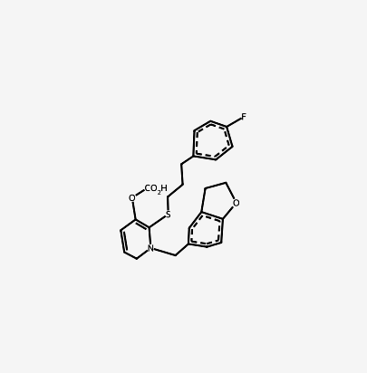 O=C(O)OC1=C(SCCCc2ccc(F)cc2)N(Cc2ccc3c(c2)CCO3)CC=C1